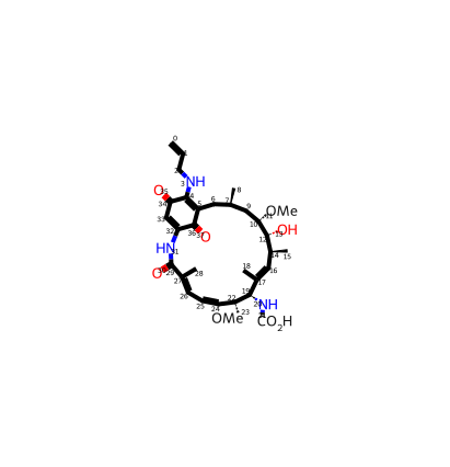 C=CCNC1=C2C[C@@H](C)C[C@H](OC)[C@H](O)[C@@H](C)/C=C(\C)[C@H](NC(=O)O)[C@H](OC)/C=C\C=C(/C)C(=O)NC(=CC1=O)C2=O